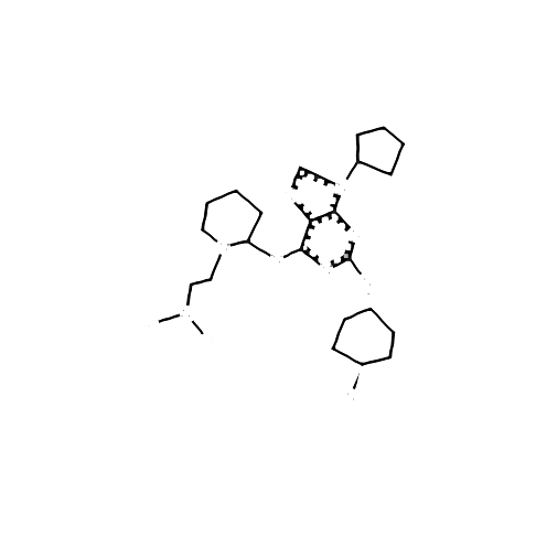 CCCCN(CCCC)CCN1CCCCC1Nc1nc(N[C@H]2CC[C@H](N)CC2)nc2c1ncn2C1CCCC1